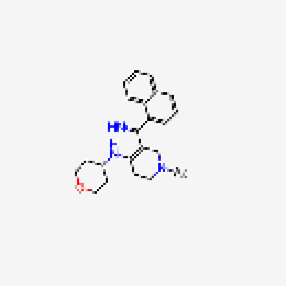 CC(=O)N1CCC(NC2CCOCC2)=C(C(=N)c2cccc3ccccc23)C1